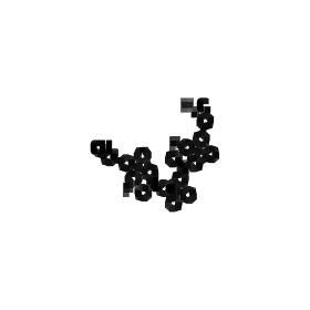 C=CC1C=CC(C2=CCC(C3(C4C=CC(F)=CC4)c4ccccc4-c4ccc(N(C5=CC6C7=C(CCC(N(C8=CC=CCC8)C8C=CC9C%10C=CC=CC%10C(C%10=CCC(C%11=CCC(C=C)C=C%11)C=C%10)(C%10=CC=C(F)CC%10)C9C8)=C7)[Si](C7=CCCC=C7)(C7CC=CCC7)C6C=C5)c5ccccc5)cc43)CC2)=CC1